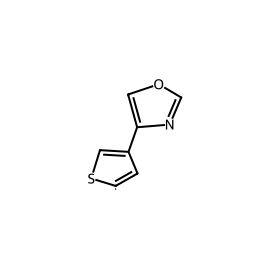 [c]1cc(-c2cocn2)cs1